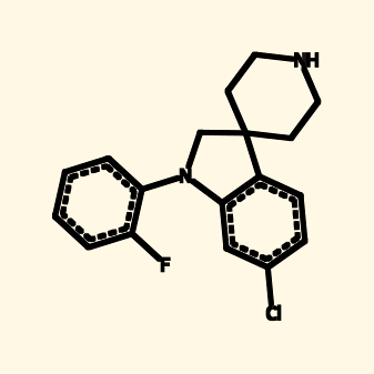 Fc1ccccc1N1CC2(CCNCC2)c2ccc(Cl)cc21